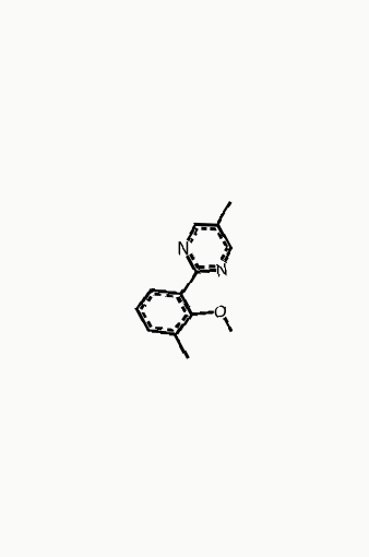 COc1c(C)cccc1-c1ncc(C)cn1